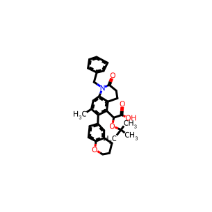 Cc1cc2c(c(C(OC(C)(C)C)C(=O)O)c1-c1ccc3c(c1)CCCO3)CCC(=O)N2Cc1ccccc1